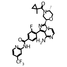 C[C@@H]1CO[C@@H](c2nc(-c3ccc(C(=O)Nc4cc(C(F)(F)F)ccn4)cc3F)c3c(N)nccn23)CN1C(=O)C1(C)CC1